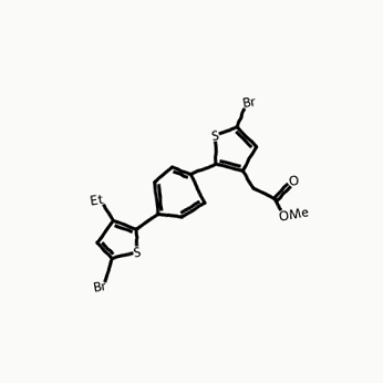 CCc1cc(Br)sc1-c1ccc(-c2sc(Br)cc2CC(=O)OC)cc1